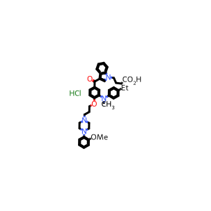 CCc1ccc(N(C)c2cc(C(=O)c3cn(CCCC(=O)O)c4ccccc34)ccc2OCCCN2CCN(c3ccccc3OC)CC2)cc1.Cl